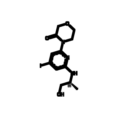 C[C@H](CO)Nc1cc(I)cc(N2CCOCC2=O)n1